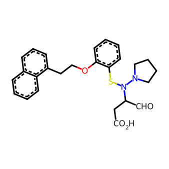 O=CC(CC(=O)O)N(Sc1ccccc1OCCc1cccc2ccccc12)N1CCCC1